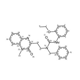 CCOc1ccccc1NC(=O)N(CCc1nc2ccccc2n(C)c1=O)Cc1ccccc1